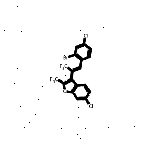 FC(F)(F)C(=Cc1ccc(Cl)cc1Br)c1c(C(F)(F)F)oc2cc(Cl)ccc12